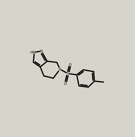 Cc1ccc(S(=O)(=O)N2CCc3c[nH]nc3C2)cc1